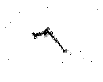 CCCCCCCCCCCCCCCCCCCC(=O)OCN1C(=O)Cc2cc(CCN3CCN(c4nsc5ccccc45)CC3)c(Cl)cc21